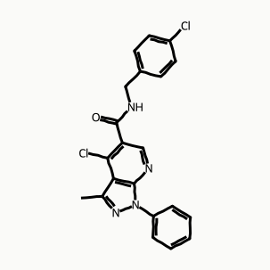 Cc1nn(-c2ccccc2)c2ncc(C(=O)NCc3ccc(Cl)cc3)c(Cl)c12